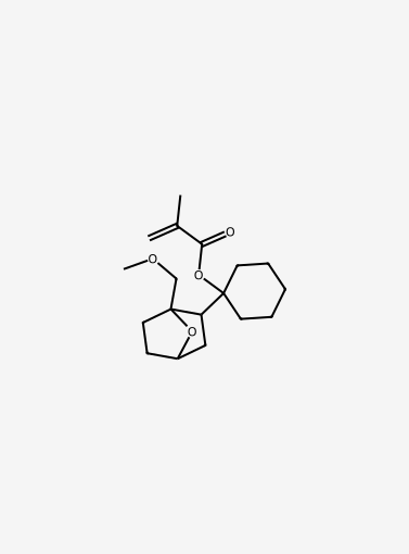 C=C(C)C(=O)OC1(C2CC3CCC2(COC)O3)CCCCC1